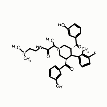 Cc1c(F)cccc1C1[C@@H](C(=O)c2cccc(O)c2)CN(C(C)C(=O)NCCN(C)C)C[C@@H]1C(=O)c1cccc(O)c1